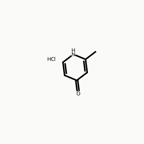 Cc1cc(=O)cc[nH]1.Cl